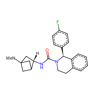 CNC12CC(C1)[C@@H](NC(=O)N1CCc3ccccc3[C@@H]1c1ccc(F)cc1)C2